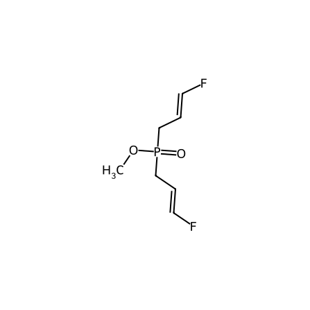 COP(=O)(CC=CF)CC=CF